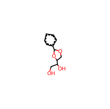 OCC(O)C1COC(c2ccccc2)O1